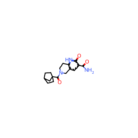 NC(=O)c1cc2c([nH]c1=O)CCN(C(=O)C13CCC(CC1)C3)C2